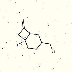 O=C1C[C@@H]2SCC(CCl)CN12